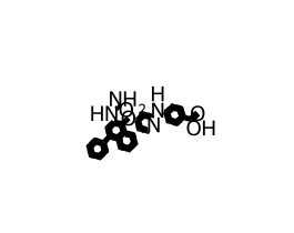 NC(=O)Nc1cc(-c2ccccc2)c2ccccc2c1Oc1ccnc(Nc2ccc(C(=O)O)cc2)c1